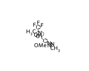 COc1cc(/C=C2\CCCN([C@H](c3cc(F)c(F)c(F)c3)[C@@H](C)O)C2=O)ccc1-n1cnc(C)n1